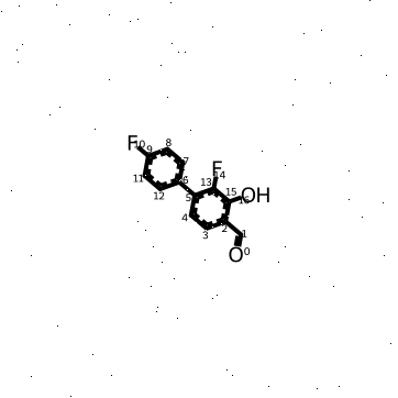 O=Cc1ccc(-c2ccc(F)cc2)c(F)c1O